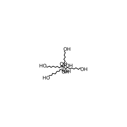 OCCCCCCC[CH](O)[Ti]([CH](O)CCCCCCCO)([CH](O)CCCCCCCO)[CH](O)CCCCCCCO